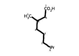 CC(C)CCCC(C)CC(=O)O